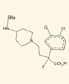 CSNC1CCN(CCC(F)(C(=O)O)c2ccc(Cl)c(Cl)c2)CC1